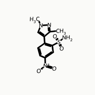 Cc1nn(C)cc1-c1ccc([N+](=O)[O-])cc1S(N)(=O)=O